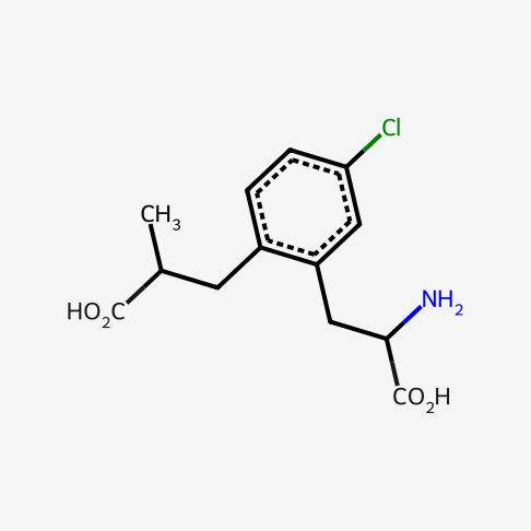 CC(Cc1ccc(Cl)cc1CC(N)C(=O)O)C(=O)O